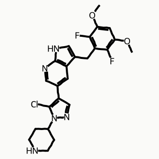 COc1cc(OC)c(F)c(Cc2c[nH]c3ncc(-c4cnn(C5CCNCC5)c4Cl)cc23)c1F